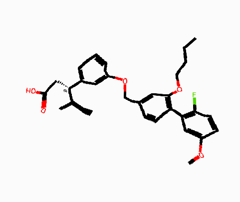 C=C(C)[C@H](CC(=O)O)c1cccc(OCc2ccc(-c3cc(OC)ccc3F)c(OCCCC)c2)c1